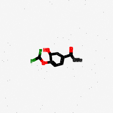 COC(=O)C1=CC=C(OC(F)F)C(O)C1